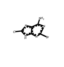 Nc1nc(Br)nc2[nH]c(Cl)nc12